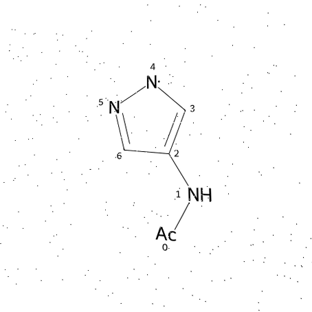 CC(=O)NC1=C[N]N=C1